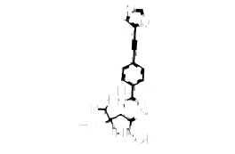 CC(N)(C(F)F)[C@H](NC(=O)c1ccc(C#Cc2cnco2)cc1)C(=O)NO